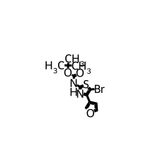 CC(C)(C)OC(=O)Nc1nc(-c2ccoc2)c(Br)s1